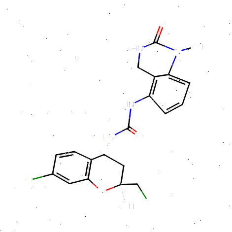 CN1C(=O)NCc2c(NC(=O)N[C@@H]3C[C@@](C)(CF)Oc4cc(Cl)ccc43)cccc21